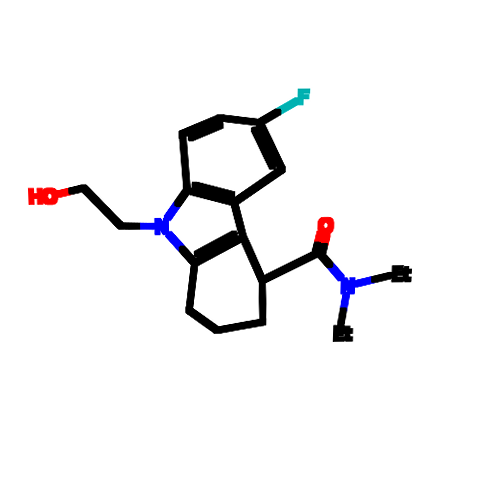 CCN(CC)C(=O)C1CCCc2c1c1cc(F)ccc1n2CCO